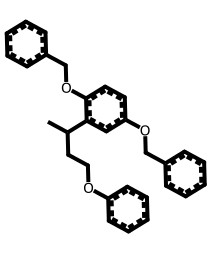 CC(CCOc1ccccc1)c1cc(OCc2ccccc2)ccc1OCc1ccccc1